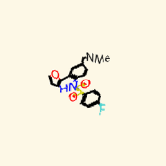 CNCc1ccc(NS(=O)(=O)c2ccc(F)cc2)c(-c2ccco2)c1